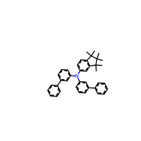 CC1(C)c2ccc(N(c3cccc(-c4ccccc4)c3)c3cccc(-c4ccccc4)c3)cc2C(C)(C)C1(C)C